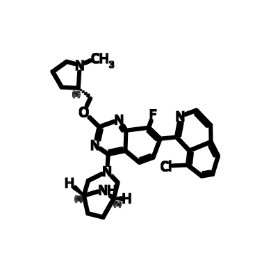 CN1CCC[C@H]1COc1nc(N2C[C@H]3CC[C@@H](C2)N3)c2ccc(-c3nccc4cccc(Cl)c34)c(F)c2n1